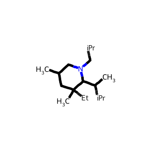 CCC1(C)CC(C)CN(CC(C)C)C1C(C)C(C)C